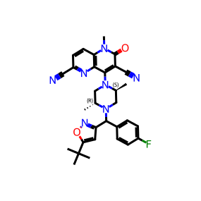 C[C@@H]1CN(c2c(C#N)c(=O)n(C)c3ccc(C#N)nc23)[C@@H](C)CN1C(c1ccc(F)cc1)c1cc(C(C)(C)C)on1